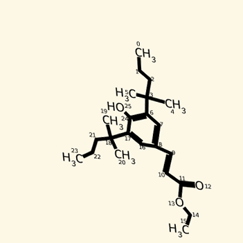 CCCC(C)(C)c1cc(C=CC(=O)OCC)cc(C(C)(C)CCC)c1O